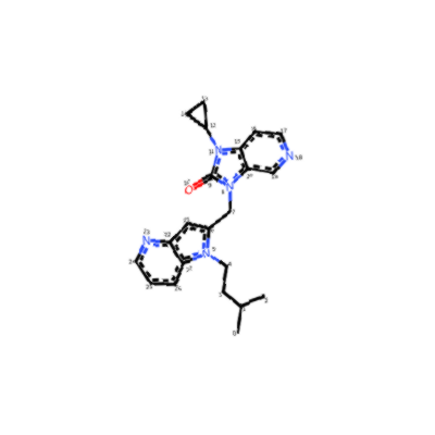 CC(C)CCn1c(Cn2c(=O)n(C3CC3)c3ccncc32)cc2ncccc21